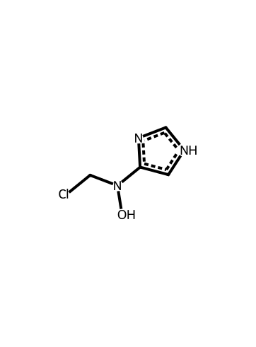 ON(CCl)c1c[nH]cn1